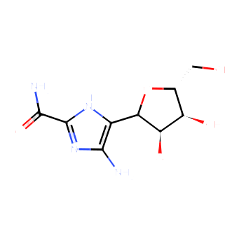 NC(=O)c1nc(N)c(C2O[C@H](CO)[C@@H](O)[C@H]2O)[nH]1